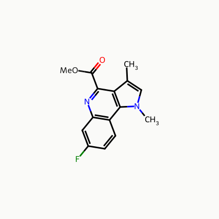 COC(=O)c1nc2cc(F)ccc2c2c1c(C)cn2C